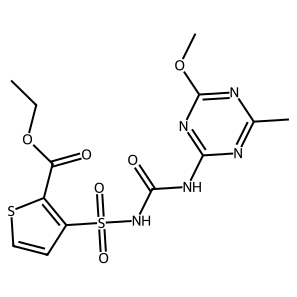 CCOC(=O)c1sccc1S(=O)(=O)NC(=O)Nc1nc(C)nc(OC)n1